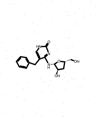 O=c1nc(N[C@@H]2O[C@H](CO)C[C@H]2O)c(Cc2ccccc2)c[nH]1